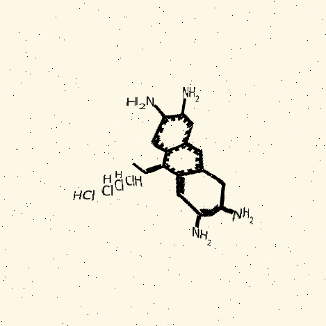 CC=c1c2c(cc3cc(N)c(N)cc13)CC(N)=C(N)C=2.Cl.Cl.Cl.Cl